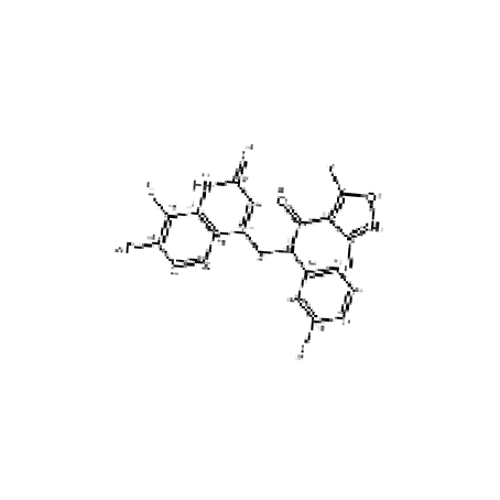 Cc1noc(C)c1C(=O)N(Cc1cc(=O)[nH]c2c(F)c(F)ccc12)c1cccc(Cl)c1